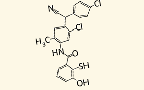 Cc1cc(C(C#N)c2ccc(Cl)cc2)c(Cl)cc1NC(=O)c1cccc(O)c1S